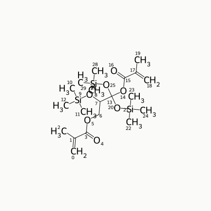 C=C(C)C(=O)OCC(O[Si](C)(C)C)C(OC(=O)C(=C)C)(O[Si](C)(C)C)O[Si](C)(C)C